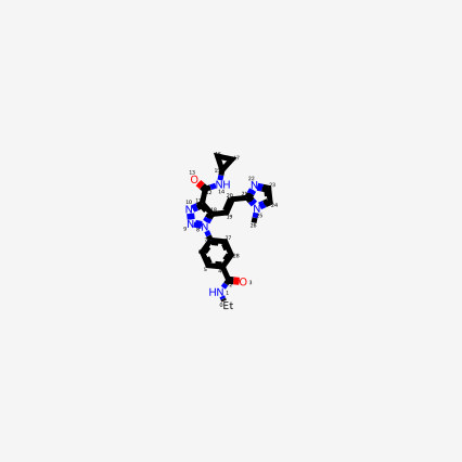 CCNC(=O)c1ccc(-n2nnc(C(=O)NC3CC3)c2/C=C/c2nccn2C)cc1